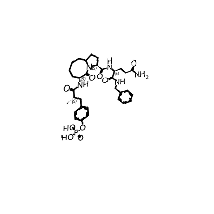 C[C@@H](Cc1ccc(OP(=O)(O)O)cc1)C(=O)N[C@H]1CCCCC2CC[C@@H](C(=O)N[C@@H](CCC(N)=O)C(=O)NCc3ccccc3)N2C1=O